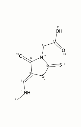 CNC=C1SC(=S)N(CC(=O)O)C1=O